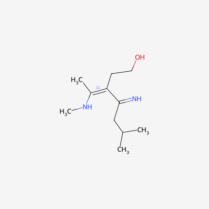 CN/C(C)=C(/CCO)C(=N)CC(C)C